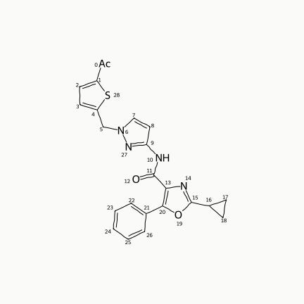 CC(=O)c1ccc(Cn2ccc(NC(=O)c3nc(C4CC4)oc3-c3ccccc3)n2)s1